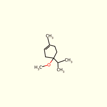 COC1(C(C)C)CC=C(C)CC1